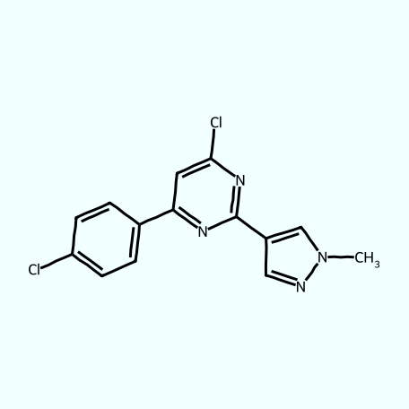 Cn1cc(-c2nc(Cl)cc(-c3ccc(Cl)cc3)n2)cn1